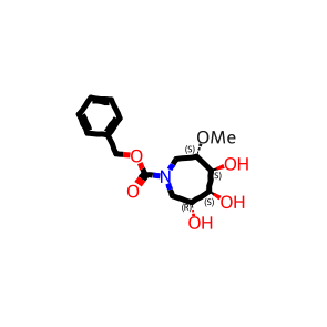 CO[C@H]1CN(C(=O)OCc2ccccc2)C[C@@H](O)[C@H](O)[C@@H]1O